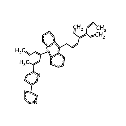 C=C/C=C(\C=C(/C)c1ccc(-c2cccnc2)cn1)c1c2ccccc2c(C\C=C/C(C=C)=C(C=C)/C=C\C)c2ccccc12